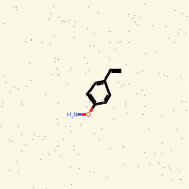 C=Cc1ccc(ON)cc1